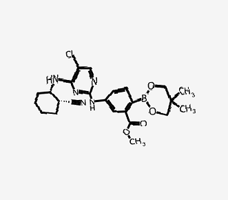 COC(=O)c1cc(Nc2ncc(Cl)c(N[C@@H]3CCCC[C@H]3C#N)n2)ccc1B1OCC(C)(C)CO1